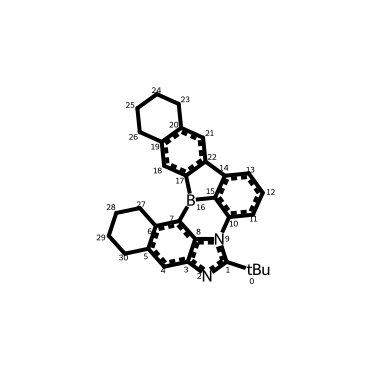 CC(C)(C)c1nc2cc3c(c4c2n1-c1cccc2c1B4c1cc4c(cc1-2)CCCC4)CCCC3